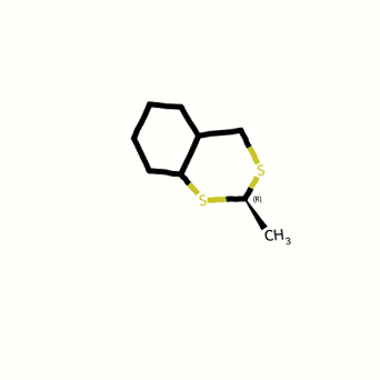 C[C@@H]1SCC2CCCCC2S1